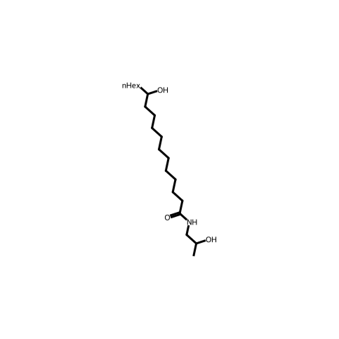 CCCCCCC(O)CCCCCCCCCCC(=O)NCC(C)O